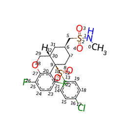 CNS(=O)(=O)C[C@H]1CC[C@]2(S(=O)(=O)c3ccc(Cl)cc3)c3c(F)ccc(F)c3OC[C@@H]2C1